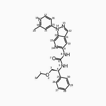 CCOC[C@@H](NC(=O)Nc1cc2cnn(-c3ccnc(C)c3)c2cn1)c1ccccc1